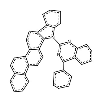 c1ccc(-c2nc(-n3c4ccccc4c4ccc5c6ccc7ccccc7c6ccc5c43)nc3ccccc23)cc1